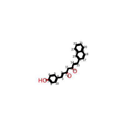 O=C(C=Cc1ccc(O)cc1)CC(=O)C=Cc1ccc2ccccc2c1